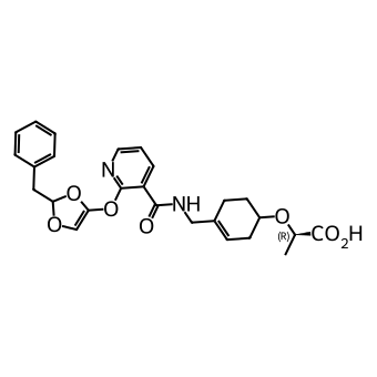 C[C@@H](OC1CC=C(CNC(=O)c2cccnc2OC2=COC(Cc3ccccc3)O2)CC1)C(=O)O